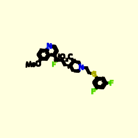 COc1ccc2nccc([C@H](F)CC[C@@H]3CCN(CCSc4cc(F)cc(F)c4)C[C@@H]3C(=O)O)c2c1